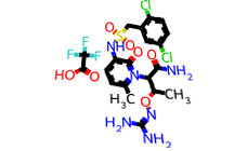 Cc1ccc(NS(=O)(=O)Cc2cc(Cl)ccc2Cl)c(=O)n1C(C(N)=O)C(C)ON=C(N)N.O=C(O)C(F)(F)F